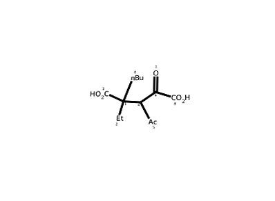 CCCCC(CC)(C(=O)O)C(C(C)=O)C(=O)C(=O)O